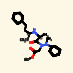 CCOC(=O)[C@H](CCc1ccccc1)N[C@@H](C)C(=O)N(CC(=O)OC(C)(C)C)N(C)c1ccccc1